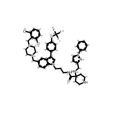 O=C(NCCCn1cc(-c2ccc(OC(F)(F)F)cc2)c2cc(CN3CCN(Cc4c(Cl)cccc4Cl)CC3)ccc21)C1(NCc2ccn(-c3ccccc3)n2)CCNCC1